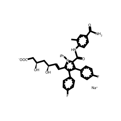 Cc1cc(C(N)=O)ccc1NC(=O)c1c(-c2ccc(F)cc2)c(-c2ccc(F)cc2)c(C=C[C@@H](O)C[C@@H](O)CC(=O)[O-])n1C(C)C.[Na+]